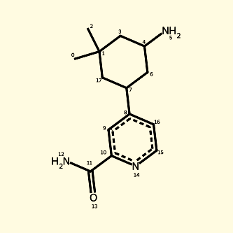 CC1(C)CC(N)CC(c2[c]c(C(N)=O)ncc2)C1